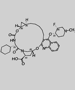 CN1CC[C@H](Oc2c3c(nc4ccccc24)O[C@@H]2C[C@@H](C(=O)O)N(C2)C(=O)[C@H](C2CCCCC2)NC(=O)O[C@@H]2C[C@H]2CCCCC3)[C@H](F)C1